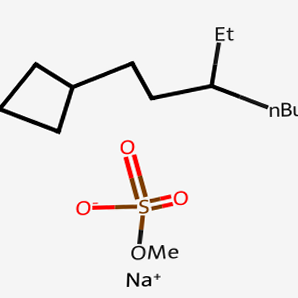 CCCCC(CC)CCC1CCC1.COS(=O)(=O)[O-].[Na+]